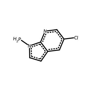 Pn1ccc2cc(Cl)cnc21